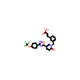 O=C(O)C=Cc1cccc(Cn2cc(-c3nc(-c4ccc(OC(F)(F)F)cc4)no3)ccc2=O)c1